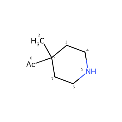 CC(=O)C1(C)CCNCC1